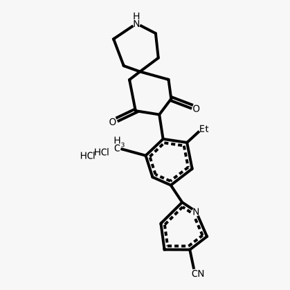 CCc1cc(-c2ccc(C#N)cn2)cc(C)c1C1C(=O)CC2(CCNCC2)CC1=O.Cl.Cl